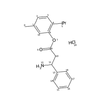 Cc1ccc(C(C)C)c(OC(=O)CC(N)c2ccccc2)c1.Cl